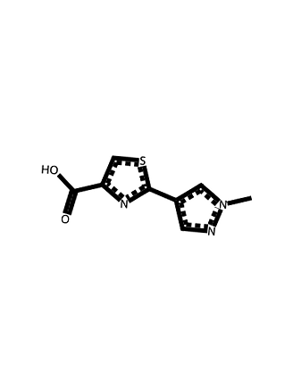 Cn1cc(-c2nc(C(=O)O)cs2)cn1